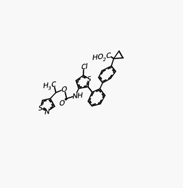 CC(OC(=O)Nc1cc(Cl)sc1-c1ccccc1-c1ccc(C2(C(=O)O)CC2)cc1)c1cnsc1